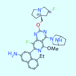 CCc1cccc2cc(N)cc(-c3nc(OC)c4c(N5CC6CCC(C5)N6)nc(OC[C@@]56CCCN5C[C@H](F)C6)nc4c3F)c12